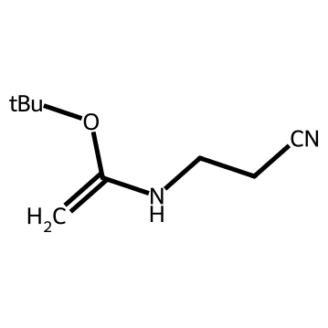 C=C(NCCC#N)OC(C)(C)C